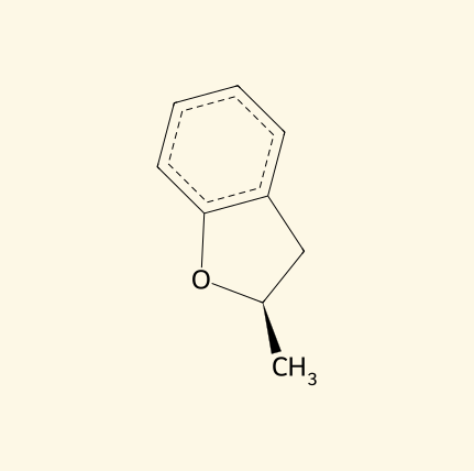 C[C@@H]1Cc2ccccc2O1